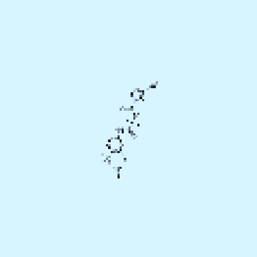 C#Cc1ccc(C(=O)NC(C)(C)C(=O)Nc2ccc3c(c2)CCN(C)CC3(C)C)s1